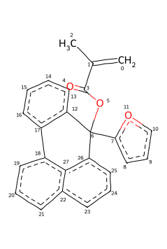 C=C(C)C(=O)OC1(c2ccco2)c2ccccc2-c2cccc3cccc1c23